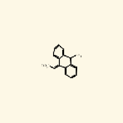 CCOC(=O)C=C1c2ccccc2C(C)c2ccccc21